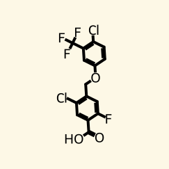 O=C(O)c1cc(Cl)c(COc2ccc(Cl)c(C(F)(F)F)c2)cc1F